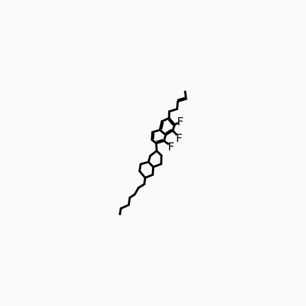 C/C=C/CCc1cc2ccc(C3CCC4CC(CCCCCCC)CCC4C3)c(F)c2c(F)c1F